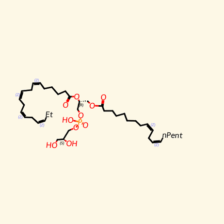 CC/C=C\C/C=C\C/C=C\C/C=C\CCCCC(=O)O[C@H](COC(=O)CCCCCCC/C=C\C/C=C\CCCCC)COP(=O)(O)OC[C@@H](O)CO